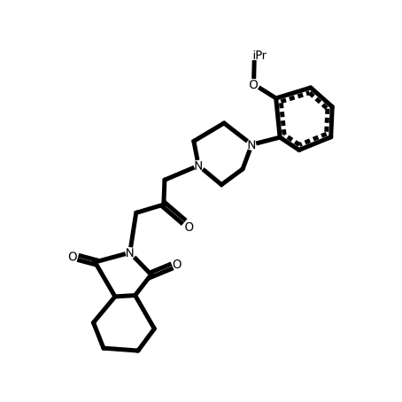 CC(C)Oc1ccccc1N1CCN(CC(=O)CN2C(=O)C3CCCCC3C2=O)CC1